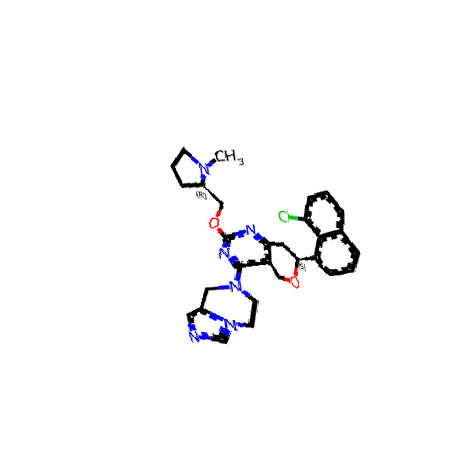 CN1CCC[C@@H]1COc1nc2c(c(N3CCn4cncc4C3)n1)CO[C@H](c1cccc3cccc(Cl)c13)C2